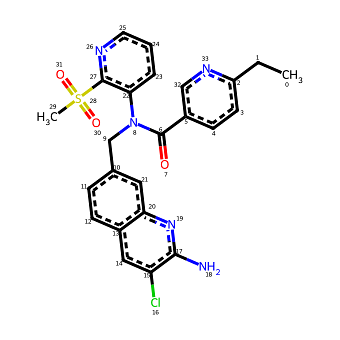 CCc1ccc(C(=O)N(Cc2ccc3cc(Cl)c(N)nc3c2)c2cccnc2S(C)(=O)=O)cn1